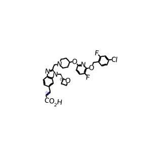 O=C(O)/C=C/c1ccc2nc(CN3CCC(Oc4ccc(F)c(OCc5ccc(Cl)cc5F)n4)CC3)n(C[C@@H]3CCO3)c2c1